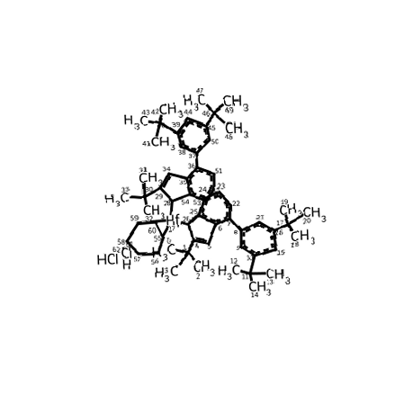 CC(C)(C)C1=Cc2c(-c3cc(C(C)(C)C)cc(C(C)(C)C)c3)cccc2[CH]1[Hf]1([CH]2C(C(C)(C)C)=Cc3c(-c4cc(C(C)(C)C)cc(C(C)(C)C)c4)cccc32)[CH]2CCCC[CH]21.Cl.Cl